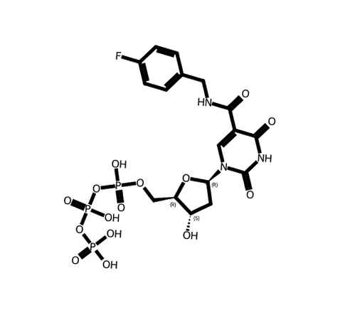 O=C(NCc1ccc(F)cc1)c1cn([C@H]2C[C@H](O)[C@@H](COP(=O)(O)OP(=O)(O)OP(=O)(O)O)O2)c(=O)[nH]c1=O